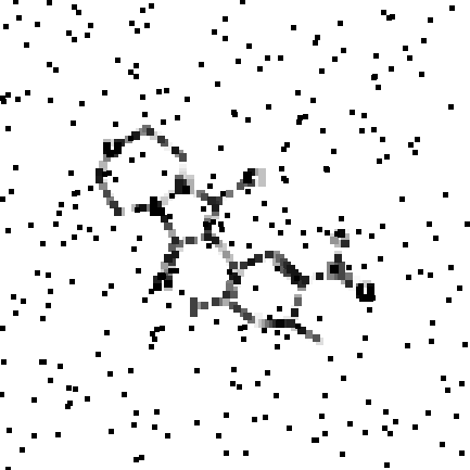 Cc1cc(F)c(-c2c(Cl)n3n(c2=O)CCOCC3)cc1[N+](=O)[O-]